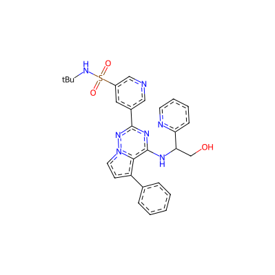 CC(C)(C)NS(=O)(=O)c1cncc(-c2nc(NC(CO)c3ccccn3)c3c(-c4ccccc4)ccn3n2)c1